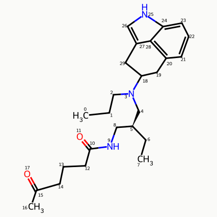 CCCN(C[C@@H](CC)CNC(=O)CCCC(C)=O)C1Cc2cccc3[nH]cc(c23)C1